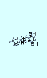 Cc1ccc(-c2cn(Cc3cc(O)ccc3O)nn2)cc1